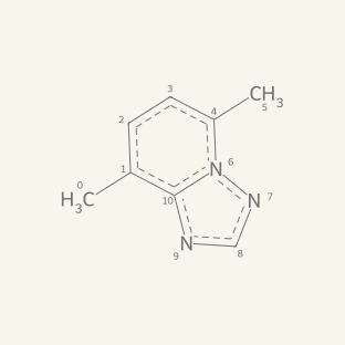 Cc1ccc(C)n2ncnc12